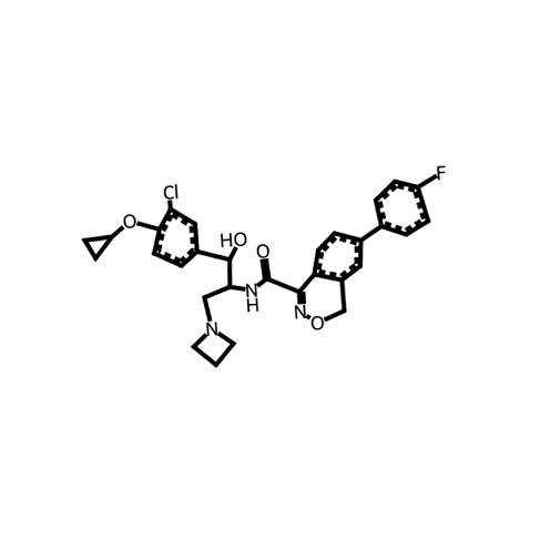 O=C(NC(CN1CCC1)C(O)c1ccc(OC2CC2)c(Cl)c1)C1=NOCc2cc(-c3ccc(F)cc3)ccc21